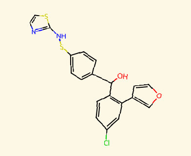 OC(c1ccc(SNc2nccs2)cc1)c1ccc(Cl)cc1-c1ccoc1